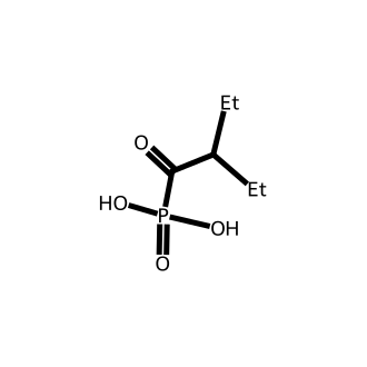 CCC(CC)C(=O)P(=O)(O)O